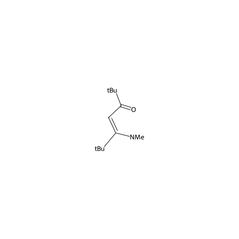 CN/C(=C\C(=O)C(C)(C)C)C(C)(C)C